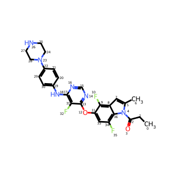 CCC(=O)n1c(C)cc2c(F)c(Oc3ncnc(Nc4ccc(N5CCNCC5)cc4)c3F)cc(F)c21